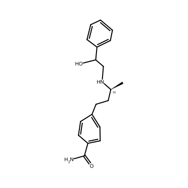 C[C@@H](CCc1ccc(C(N)=O)cc1)NCC(O)c1ccccc1